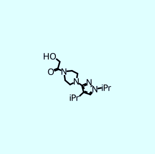 CC(C)c1cn(C(C)C)nc1N1CCN(C(=O)CO)CC1